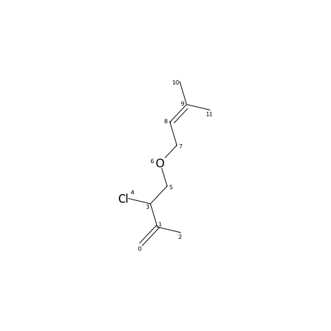 C=C(C)C(Cl)COCC=C(C)C